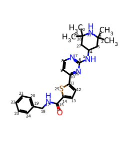 CC1(C)CC(Nc2nccc(-c3ccc(C(=O)NCc4ccccc4)s3)n2)CC(C)(C)N1